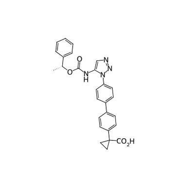 C[C@@H](OC(=O)Nc1cnnn1-c1ccc(-c2ccc(C3(C(=O)O)CC3)cc2)cc1)c1ccccc1